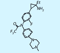 CCC1(N)CC1c1ccc(N(C(=O)C(F)(F)F)c2ccc(N3CCN(C)CC3)cc2)c(F)c1